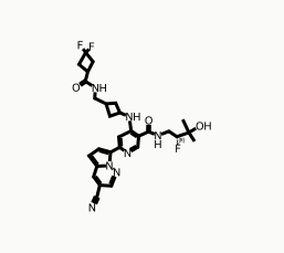 CC(C)(O)[C@H](F)CNC(=O)c1cnc(-c2ccc3cc(C#N)cnn23)cc1NC1CC(CNC(=O)C2CC(F)(F)C2)C1